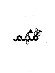 CCc1cccc(/C=C2\CN(CC3CC3)C/C(=C\c3cccc(OS(=O)(=O)CC)c3)C2=O)c1